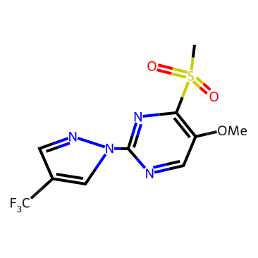 COc1cnc(-n2cc(C(F)(F)F)cn2)nc1S(C)(=O)=O